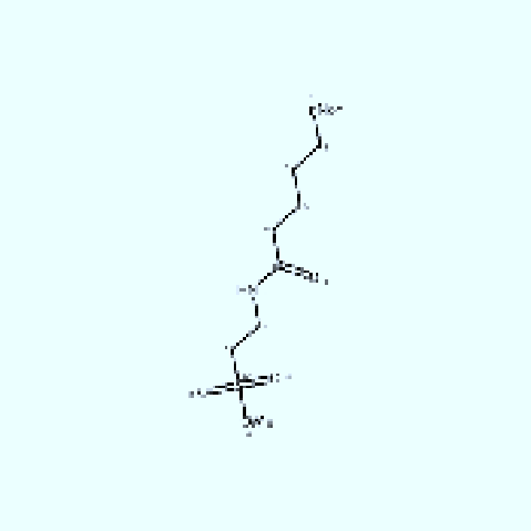 CCCCCCCCCCCCCC(=O)NCCS(=O)(=O)OC